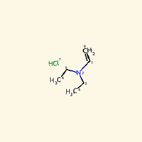 C=CN(CC)CC.Cl